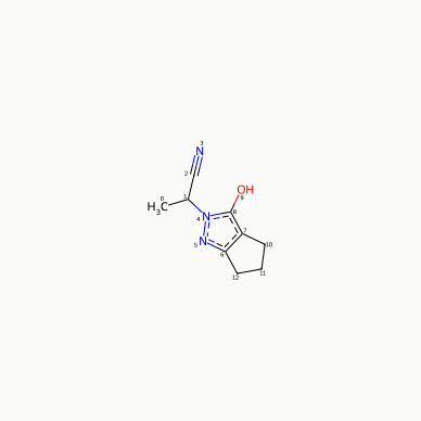 CC(C#N)n1nc2c(c1O)CCC2